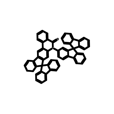 O=c1c2ccccc2c2cc3c(cc2n1-c1ccc2c(c1)C1(c4ccccc4-c4ccccc41)c1ccccc1-2)C1(C2=C3C=CCC2)c2ccccc2-c2ccccc21